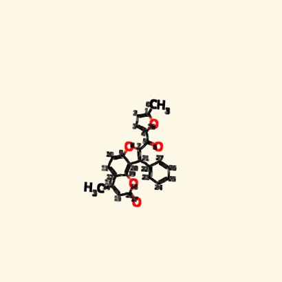 Cc1ccc(C(=O)c2oc3ccc4c(C)cc(=O)oc4c3c2-c2ccccc2)o1